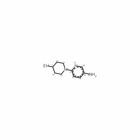 CCC1CCN(c2ccc(N)cn2)CC1